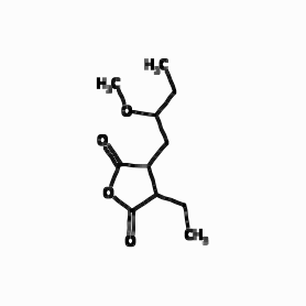 CCC(CC1C(=O)OC(=O)C1CC)OC